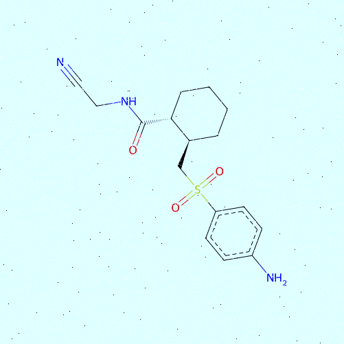 N#CCNC(=O)[C@@H]1CCCC[C@H]1CS(=O)(=O)c1ccc(N)cc1